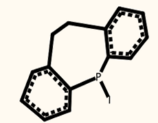 IP1c2ccccc2CCc2ccccc21